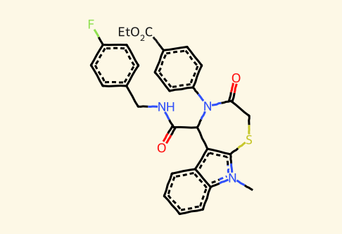 CCOC(=O)c1ccc(N2C(=O)CSc3c(c4ccccc4n3C)C2C(=O)NCc2ccc(F)cc2)cc1